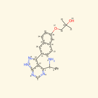 CC(C)C(N)c1ncnc2[nH]nc(-c3ccc4cc(OCC(C)(C)O)ccc4c3)c12